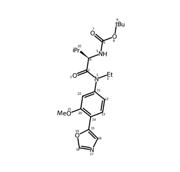 CCN(C(=O)[C@H](NC(=O)OC(C)(C)C)C(C)C)c1ccc(-c2cnco2)c(OC)c1